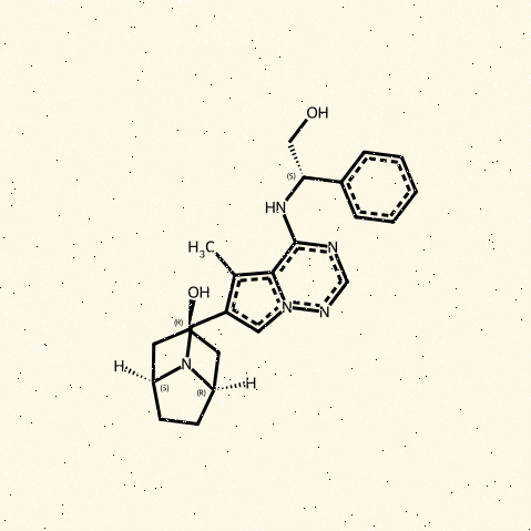 Cc1c(CN2[C@@H]3CC[C@H]2C[C@@H](O)C3)cn2ncnc(N[C@H](CO)c3ccccc3)c12